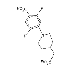 CCOC(=O)CC1CCN(c2cc(F)c(C(=O)O)cc2F)CC1